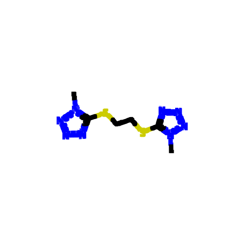 Cn1nnnc1SCCSc1nnnn1C